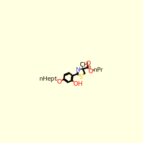 CCCCCCCOc1ccc(C2=N[C@@](C)(C(=O)OCCC)CS2)c(O)c1